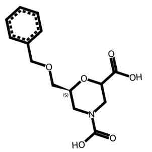 O=C(O)C1CN(C(=O)O)C[C@@H](COCc2ccccc2)O1